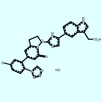 Cl.O=C(O)Cc1c[nH]c2ccc(-c3cnc([C@@H]4CCc5cc(-c6cc(Cl)ccc6-n6cnnn6)cc(=O)n54)[nH]3)cc12